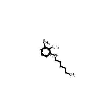 CCCCCCPc1cccc(C)c1C